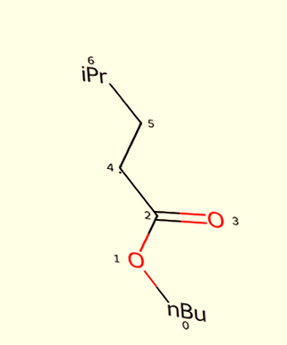 CCCCOC(=O)[CH]CC(C)C